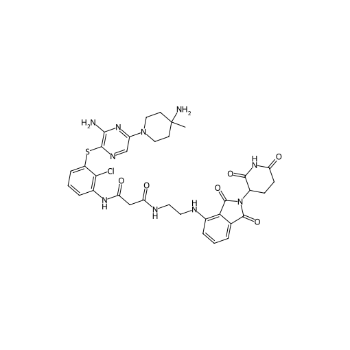 CC1(N)CCN(c2cnc(Sc3cccc(NC(=O)CC(=O)NCCNc4cccc5c4C(=O)N(C4CCC(=O)NC4=O)C5=O)c3Cl)c(N)n2)CC1